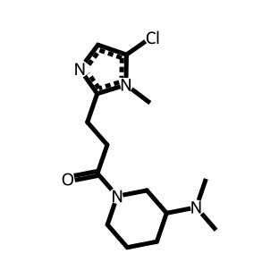 CN(C)C1CCCN(C(=O)CCc2ncc(Cl)n2C)C1